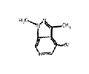 Cc1nn(C)c2cncc(Br)c12